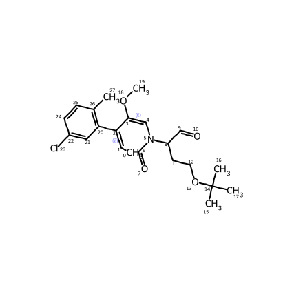 C/C=C(\C(=C/N(C=O)C(C=O)CCOC(C)(C)C)OC)c1cc(Cl)ccc1C